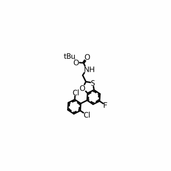 CC(C)(C)OC(=O)NCC1Oc2c(cc(F)cc2-c2c(Cl)cccc2Cl)S1